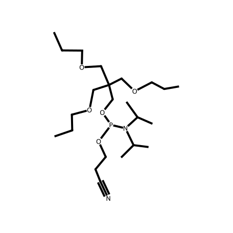 CCCOCC(COCCC)(COCCC)COP(OCCC#N)N(C(C)C)C(C)C